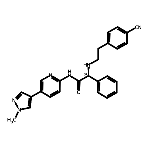 Cn1cc(-c2ccc(NC(=O)[C@@H](NCCc3ccc(C#N)cc3)c3ccccc3)nc2)cn1